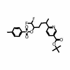 Cc1ccc(S(=O)(=O)OC(CCC(C)c2ccc(C(=O)OC(C)(C)C)cn2)C(F)F)cc1